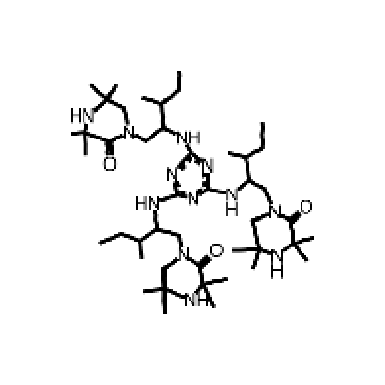 CCC(C)C(CN1CC(C)(C)NC(C)(C)C1=O)Nc1nc(NC(CN2CC(C)(C)NC(C)(C)C2=O)C(C)CC)nc(NC(CN2CC(C)(C)NC(C)(C)C2=O)C(C)CC)n1